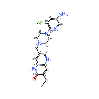 CCc1cc2ncc(CN3CCN(c4ncc(N)cc4F)CC3)cc2[nH]c1=O